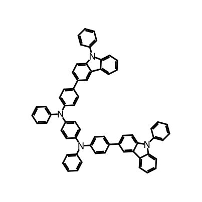 c1ccc(N(c2ccc(-c3ccc4c(c3)c3ccccc3n4-c3ccccc3)cc2)c2ccc(N(c3ccccc3)c3ccc(-c4ccc5c(c4)c4ccccc4n5-c4ccccc4)cc3)cc2)cc1